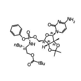 CCCC[C@@H](COC(=O)C(C)(C)C)NP(=O)(OC[C@H]1O[C@@H](n2ccc(N)nc2=O)[C@]2(C)OC(C)(C)O[C@H]12)Oc1ccccc1